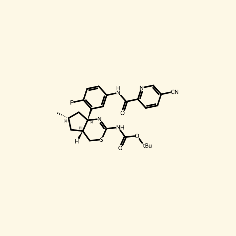 C[C@H]1C[C@H]2CSC(NC(=O)OC(C)(C)C)=N[C@@]2(c2cc(NC(=O)c3ccc(C#N)cn3)ccc2F)C1